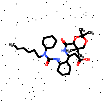 CCCCCCN(C(=O)NC1CCCCC1C(CC(=O)O)NC(=O)C1OC(C)(C)OCC1(C)C)C1CCCCC1